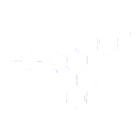 CC1OC(c2cc3nc(-c4ccc(Cl)cc4)cc(-c4ccccc4Cl)n3n2)O1